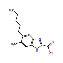 CCCCCc1cc2nc(C(=O)O)[nH]c2cc1C